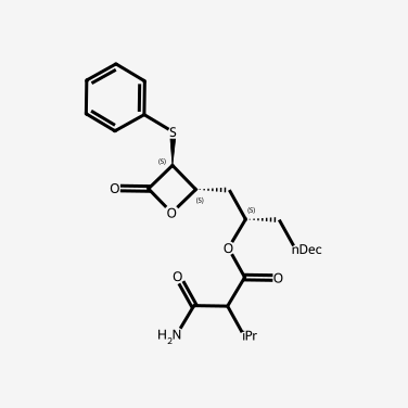 CCCCCCCCCCC[C@@H](C[C@@H]1OC(=O)[C@H]1Sc1ccccc1)OC(=O)C(C(N)=O)C(C)C